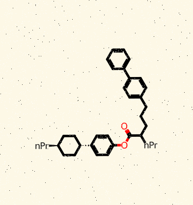 CCCC(CCCc1ccc(-c2ccccc2)cc1)C(=O)Oc1ccc([C@H]2CC[C@H](CCC)CC2)cc1